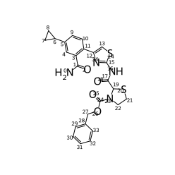 NC(=O)c1cc(C2CC2)ccc1-c1csc(NC(=O)C2SCCN2C(=O)OCc2ccccc2)n1